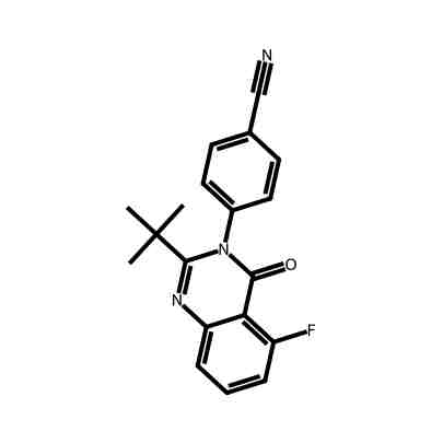 CC(C)(C)c1nc2cccc(F)c2c(=O)n1-c1ccc(C#N)cc1